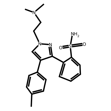 Cc1ccc(-c2cn(CCN(C)C)nc2-c2ccccc2S(N)(=O)=O)cc1